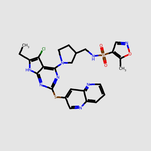 CCc1[nH]c2nc(Sc3cnc4cccnc4c3)nc(N3CCC(CNS(=O)(=O)c4cnoc4C)C3)c2c1Cl